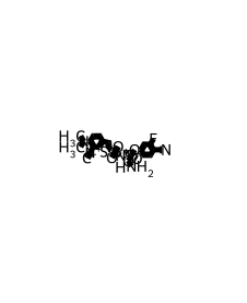 [C-]#[N+]c1c(N(C)C)ccc2cc(S(=O)(=O)NCP(=O)(ON)Oc3ccc(C#N)c(F)c3)sc12